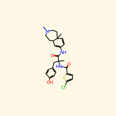 CN1CCC2C=C(NC(=O)C(C)(Cc3ccc(O)cc3)NC(=O)c3ccc(Cl)s3)C=CC2(C)CC1